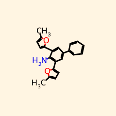 Cc1ccc(-c2cc(-c3ccccc3)cc(-c3ccc(C)o3)c2N)o1